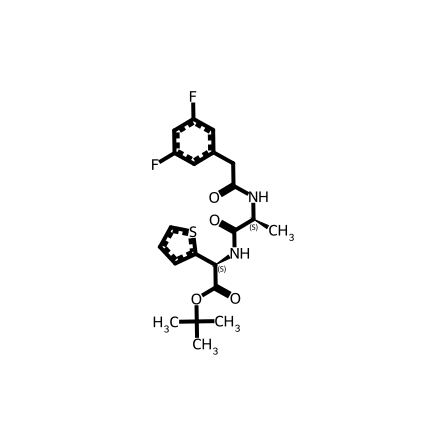 C[C@H](NC(=O)Cc1cc(F)cc(F)c1)C(=O)N[C@@H](C(=O)OC(C)(C)C)c1cccs1